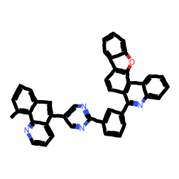 Cc1cccc2cc(-c3cnc(-c4cccc(-c5nc6ccccc6c6c5ccc5c7ccccc7oc56)c4)nc3)c3cccnc3c12